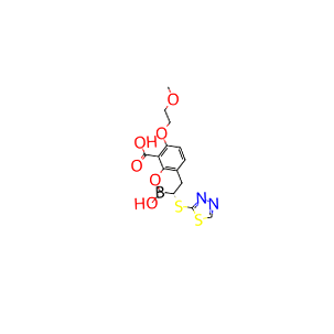 COCCOc1ccc2c(c1C(=O)O)OB(O)[C@@H](Sc1nncs1)C2